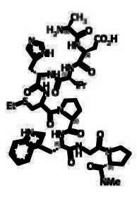 CCSCC(NC(=O)[C@H](Cc1cnc[nH]1)NC(=O)[C@@H](NC(=O)[C@H](CC(=O)O)NC(=O)[C@H](C)N)C(C)C)C(=O)N1CCC[C@H]1C(=O)N[C@@H](Cc1c[nH]c2ccccc12)C(=O)NCC(=O)N1CCC[C@@H]1C(=O)NC